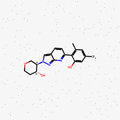 Cc1cc(C(F)(F)F)cc(O)c1-c1ccc2cn([C@@H]3COCC[C@H]3O)nc2n1